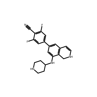 N#Cc1c(F)cc(-c2cc3c(c(NC4CCNCC4)c2)CNC=C3)cc1F